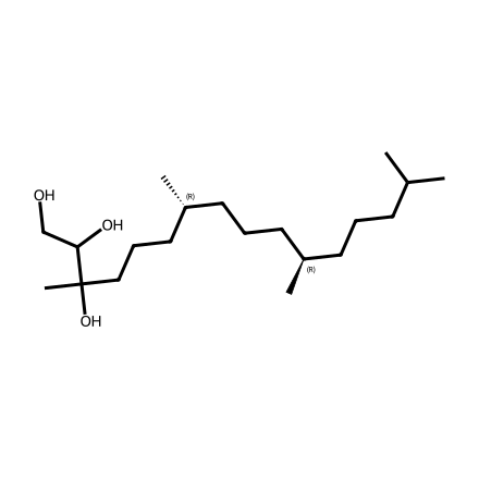 CC(C)CCC[C@@H](C)CCC[C@@H](C)CCCC(C)(O)C(O)CO